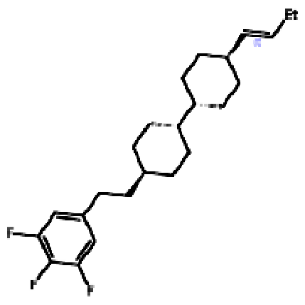 CC/C=C/[C@H]1CC[C@H]([C@H]2CC[C@H](CCc3cc(F)c(F)c(F)c3)CC2)CC1